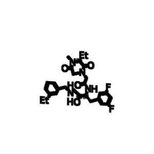 CCc1cccc(CNC[C@H](O)[C@H](Cc2cc(F)cc(F)c2)NC(=O)CN2CC(=O)N(C)[C@H](CC)C2=O)c1